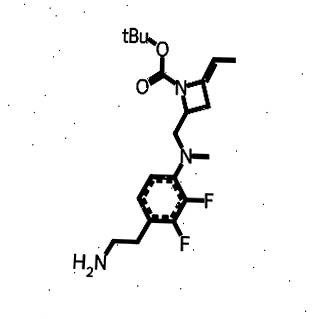 C/C=C1\CC(CN(C)c2ccc(CCN)c(F)c2F)N1C(=O)OC(C)(C)C